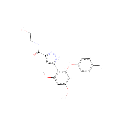 CCCCOc1cc(OCCCC)c(-c2cc(C(=O)NCCO)n[nH]2)c(Oc2ccc([N+](=O)[O-])cc2)c1